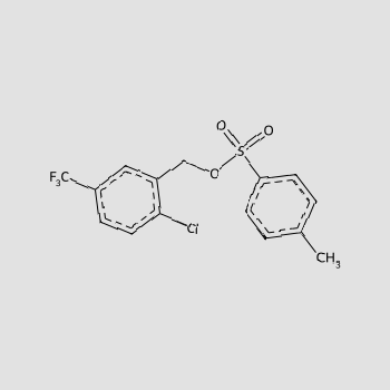 Cc1ccc(S(=O)(=O)OCc2cc(C(F)(F)F)ccc2Cl)cc1